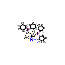 CC(=O)C(N)(CCP(c1ccccc1)c1ccccc1)CCP(c1ccccc1)c1ccccc1